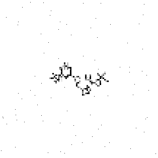 CC(C)(C)OC(=O)N1CC[C@H]1COc1cnc[c]([Sn]([CH3])([CH3])[CH3])c1